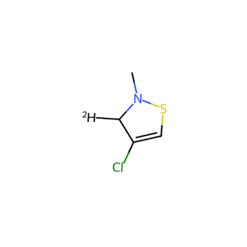 [2H]C1C(Cl)=CSN1C